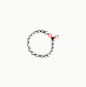 O=C1CCCCCCCCCCCCCCCCCCO1